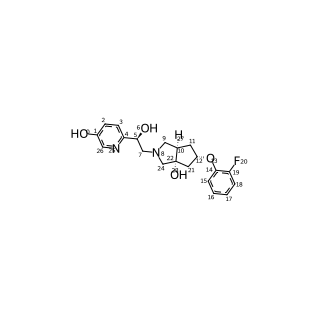 Oc1ccc([C@@H](O)CN2C[C@H]3C[C@H](Oc4ccccc4F)C[C@@]3(O)C2)nc1